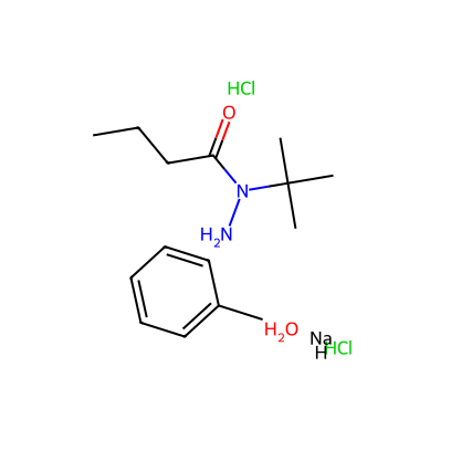 CCCC(=O)N(N)C(C)(C)C.Cc1ccccc1.Cl.Cl.O.[NaH]